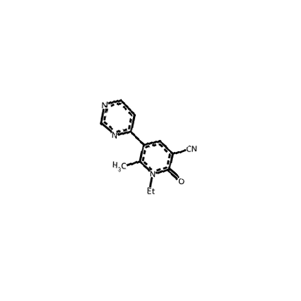 CCn1c(C)c(-c2ccncn2)cc(C#N)c1=O